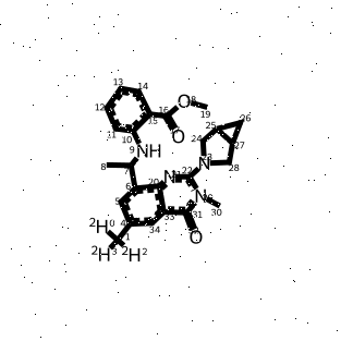 [2H]C([2H])([2H])c1cc(C(C)Nc2ccccc2C(=O)OC)c2nc(N3CC4CC4C3)n(C)c(=O)c2c1